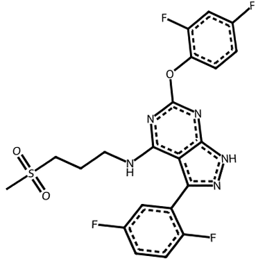 CS(=O)(=O)CCCNc1nc(Oc2ccc(F)cc2F)nc2[nH]nc(-c3cc(F)ccc3F)c12